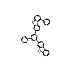 c1ccc(-c2cc(-c3ccc4c(c3)oc3ccccc34)cc(-c3ccc4c(c3)sc3cccc(-c5ccccc5)c34)c2)cc1